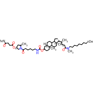 CCCCCCCCCCCCCCCCCCN(C)C(=O)CC[C@@H](C)[C@H]1CCC2C3CC[C@@H]4C[C@H](OC(=O)NCCCCCC(=O)N5C[C@H](OC(=O)CCC(=O)NC)C[C@H]5C)CC[C@]4(C)C3CC[C@@]21C